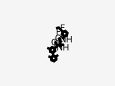 CCC(F)(F)c1cccc(NC(=O)c2c(C)[nH]c(-c3cc(C)cc(-c4c(C)cccc4C)c3)[n+]2[O-])c1